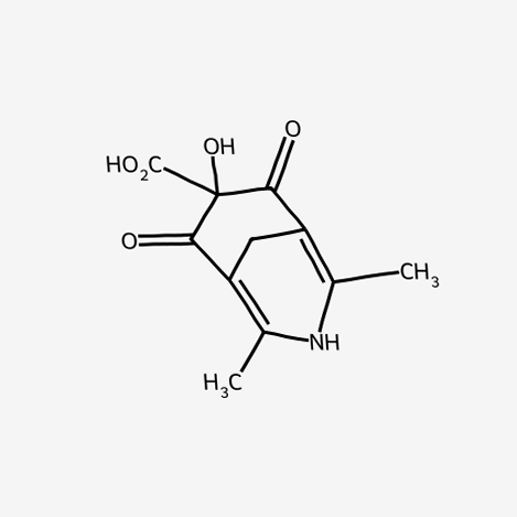 CC1=C2CC(=C(C)N1)C(=O)C(O)(C(=O)O)C2=O